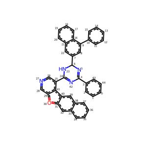 c1ccc(C2=NC(c3cc(-c4ccccc4)c4ccccc4c3)NC(c3cncc4oc5cc6ccccc6cc5c34)=N2)cc1